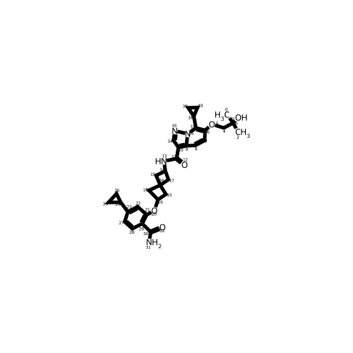 CC(C)(O)COc1ccc2c(C(=O)NC3CC4(C3)CC(Oc3cc(C5CC5)ccc3C(N)=O)C4)cnn2c1C1CC1